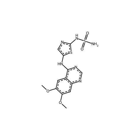 COc1cc2ncnc(Nc3cnc(NS(N)(=O)=O)s3)c2cc1OC